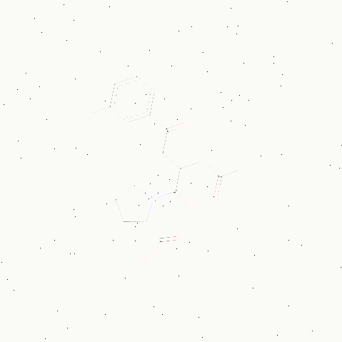 CC(=O)SC(CC(=O)c1cccc(F)c1)C(=O)N1CCC[C@H]1C(=O)O